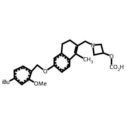 CCC(C)c1ccc(COc2ccc3c(c2)CCC(CN2CC(OC(=O)O)C2)=C3C)c(OC)c1